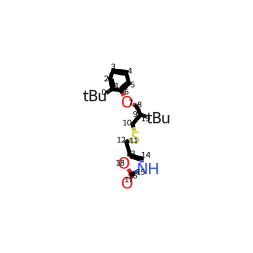 CC(C)(C)c1ccccc1OCC(CSCc1c[nH]c(=O)o1)C(C)(C)C